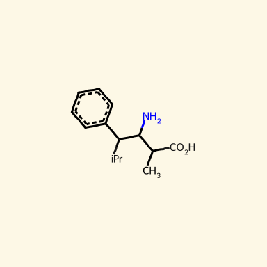 CC(C)C(c1ccccc1)C(N)C(C)C(=O)O